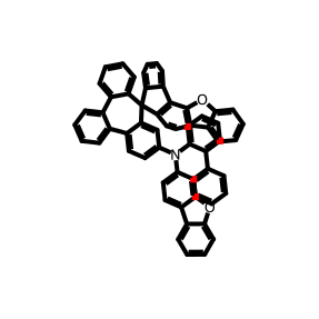 c1ccc(-c2ccccc2N(c2ccc3c(c2)C2(c4ccccc4-c4ccccc4-3)c3ccccc3-c3c2ccc2c3oc3ccccc32)c2ccc3c(c2)oc2ccccc23)cc1